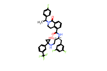 CC(c1ccc(F)cc1)N1CCc2c(C(=O)N[C@@H](Cc3cc(F)cc(F)c3)[C@@H](O)CNC3(c4cccc(C(F)(F)F)c4)CC3)cccc2C1=O